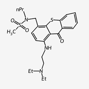 CCCN(Cc1ccc(NCCN(CC)CC)c2c(=O)c3ccccc3sc12)S(C)(=O)=O